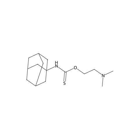 CN(C)CCOC(=S)NC12CC3CC(CC(C3)C1)C2